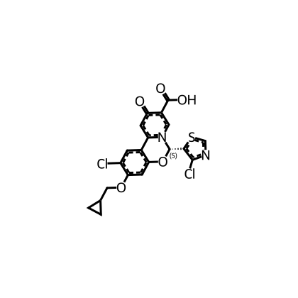 O=C(O)c1cn2c(cc1=O)-c1cc(Cl)c(OCC3CC3)cc1O[C@H]2c1scnc1Cl